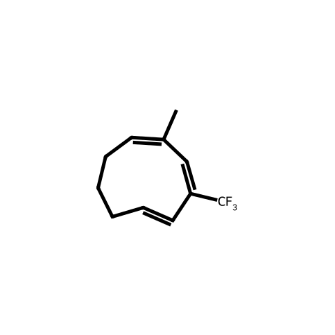 CC1=C/CCC/C=C/C(C(F)(F)F)=C\1